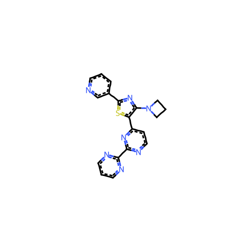 c1cnc(-c2nccc(-c3sc(-c4cccnc4)nc3N3CCC3)n2)nc1